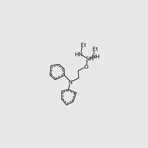 CCN[SiH](NCC)OCCN(c1ccccc1)c1ccccc1